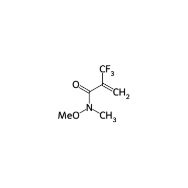 C=C(C(=O)N(C)OC)C(F)(F)F